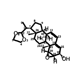 CC(C1OCCO1)[C@H]1CC[C@H]2[C@@H]3C=CC4=C[C@@H](O)[C@@H]5O[C@@H]5[C@]4(C)[C@H]3CC[C@]12C